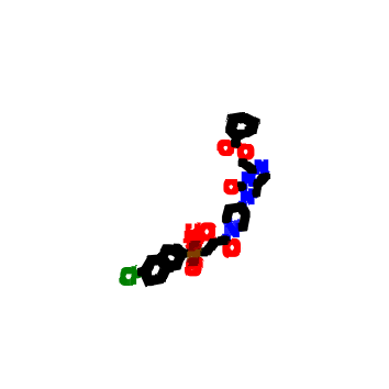 O=C(OCc1ncc2n1C(=O)N(C1CCN(C(=O)[C@H](O)CS(=O)(=O)c3ccc4cc(Cl)ccc4c3)CC1)C2)c1ccccc1